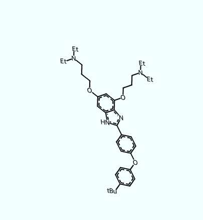 CCN(CC)CCCOc1cc(OCCCN(CC)CC)c2nc(-c3ccc(Oc4ccc(C(C)(C)C)cc4)cc3)[nH]c2c1